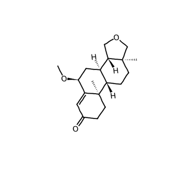 CO[C@H]1C[C@H]2[C@@H]3COC[C@@]3(C)CC[C@@H]2[C@@]2(C)CCC(=O)C=C12